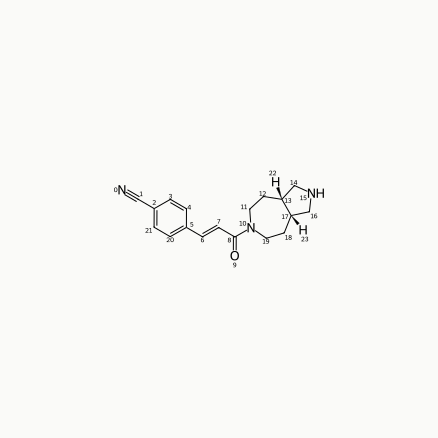 N#Cc1ccc(/C=C/C(=O)N2CC[C@@H]3CNC[C@@H]3CC2)cc1